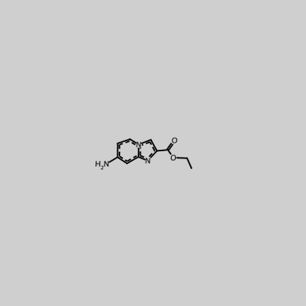 CCOC(=O)c1cn2ccc(N)cc2n1